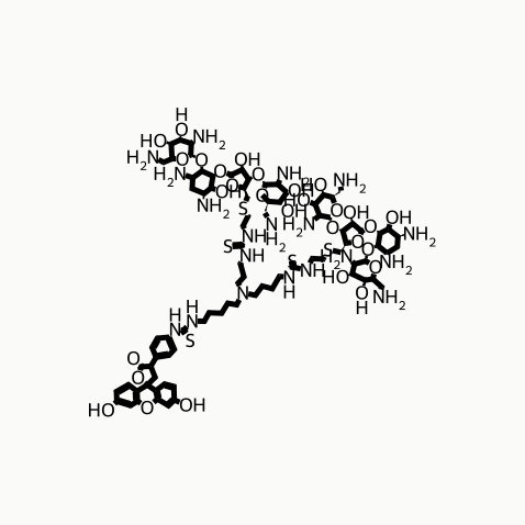 NCC1O[C@H](O[C@@H]2C(N)C[C@@H](N)C(O)[C@H]2OC2O[C@H](CSCCNC(=S)NCCCCN(CCCCCNC(=S)Nc3ccc(C4CC5(OC4=O)c4ccc(O)cc4Oc4cc(O)ccc45)cc3)CCCNC(=S)NCCSC[C@H]3OC(O[C@@H]4C(O)[C@H](N)CC(N)[C@H]4O[C@H]4OC(CN)[C@@H](O)[C@H](O)C4N)[C@@H](O)[C@H]3O[C@H]3O[C@@H](CN)[C@@H](O)C(O)C3N)[C@H](O[C@H]3O[C@@H](CN)[C@@H](O)C(O)C3N)[C@@H]2O)C(N)[C@@H](O)[C@@H]1O